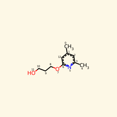 Cc1[c]c(C)nc(OCCCO)c1